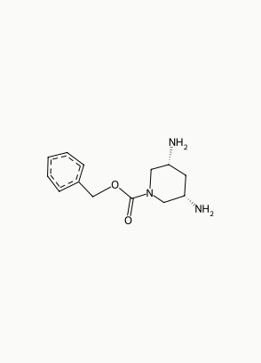 N[C@@H]1C[C@H](N)CN(C(=O)OCc2ccccc2)C1